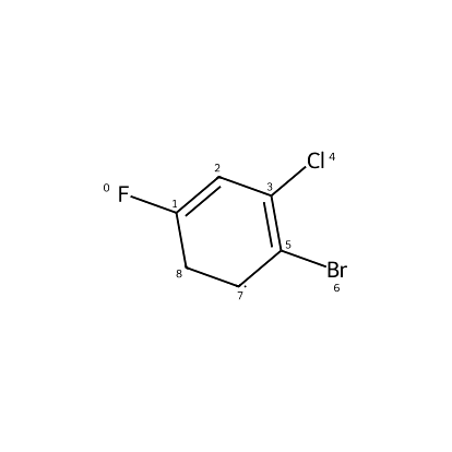 FC1=CC(Cl)=C(Br)[CH]C1